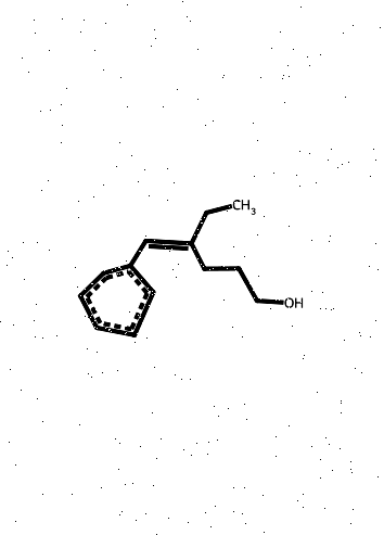 CCC(=Cc1ccccc1)CCCO